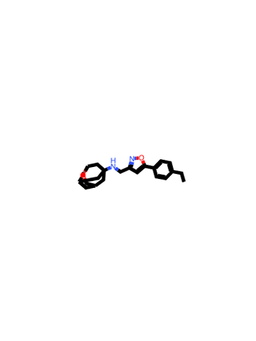 CCc1ccc(-c2cc(CNC34CC5COC(CC(C5)C3)C4)no2)cc1